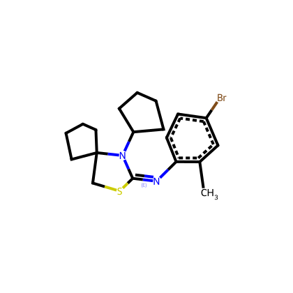 Cc1cc(Br)ccc1/N=C1/SCC2(CCCC2)N1C1CCCC1